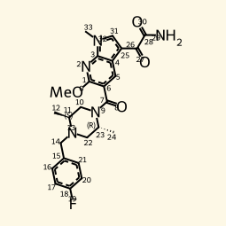 COc1nc2c(cc1C(=O)N1C[C@H](C)N(Cc3ccc(F)cc3)C[C@H]1C)c(C(=O)C(N)=O)cn2C